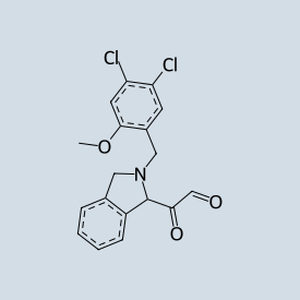 COc1cc(Cl)c(Cl)cc1CN1Cc2ccccc2C1C(=O)C=O